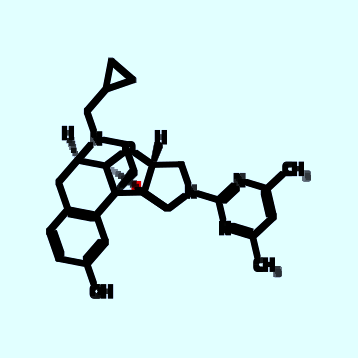 Cc1cc(C)nc(N2C[C@H]3O[C@@]45CCC2C3[C@@]42CCN(CC3CC3)[C@@H]5Cc3ccc(O)cc32)n1